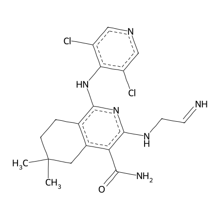 CC1(C)CCc2c(Nc3c(Cl)cncc3Cl)nc(NCC=N)c(C(N)=O)c2C1